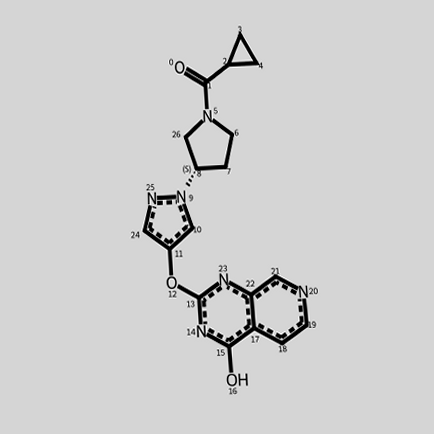 O=C(C1CC1)N1CC[C@H](n2cc(Oc3nc(O)c4ccncc4n3)cn2)C1